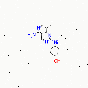 Cc1cnc(N)c2cnc(NC3CCC(O)CC3)nc12